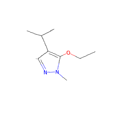 CCOc1c(C(C)C)[c]nn1C